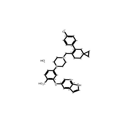 Cl.O=C(O)c1ccc(N2CCN(CC3=C(c4ccc(Cl)cc4)CC4(CC3)CC4)CC2)cc1Oc1cnc2[nH]ccc2c1